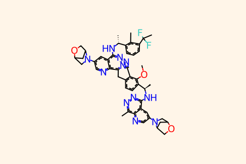 COc1c([C@@H](C)Nc2nnc(C)c3ncc(N4CC5CC4CO5)cc23)ccc(Cc2nnc(N[C@H](C)c3cccc(C(C)(F)F)c3C)c3cc(N4CC5CC4CO5)cnc23)c1C#N